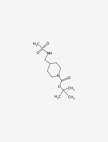 CC(C)(C)OC(=O)N1CCC(CNS(C)(=O)=O)CC1